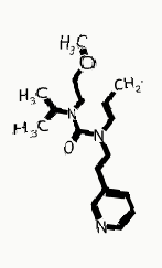 [CH2]CCN(CCc1cccnc1)C(=O)N(CCOC)C(C)C